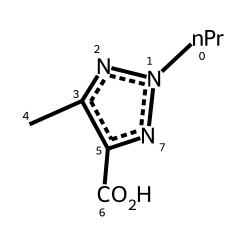 CCCn1nc(C)c(C(=O)O)n1